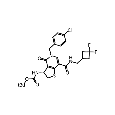 CC(C)(C)OC(=O)N[C@H]1CSc2c(C(=O)NCC3CC(F)(F)C3)cn(Cc3ccc(Cl)cc3)c(=O)c21